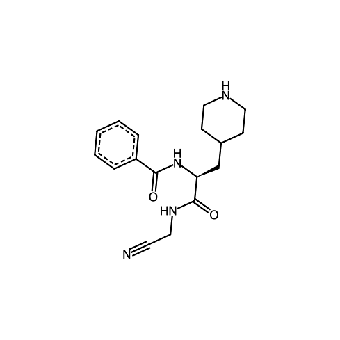 N#CCNC(=O)[C@H](CC1CCNCC1)NC(=O)c1ccccc1